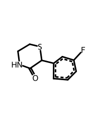 O=C1NCCSC1c1cccc(F)c1